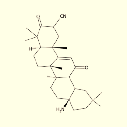 CC1(C)CC[C@]2(N)CC[C@]3(C)C(C(=O)C=C4[C@@]5(C)CC(C#N)C(=O)C(C)(C)[C@@H]5CC[C@]43C)C2C1